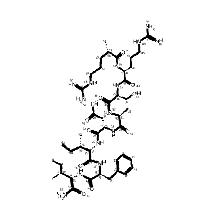 CC[C@H](C)[C@H](NC(=O)[C@H](Cc1ccccc1)NC(=O)[C@@H](NC(=O)[C@H](CC(=O)O)NC(=O)[C@H](C)NC(=O)[C@H](CO)NC(=O)[C@H](CCCNC(=N)N)NC(=O)[C@@H](C)CCCNC(=N)N)[C@@H](C)CC)C(N)=O